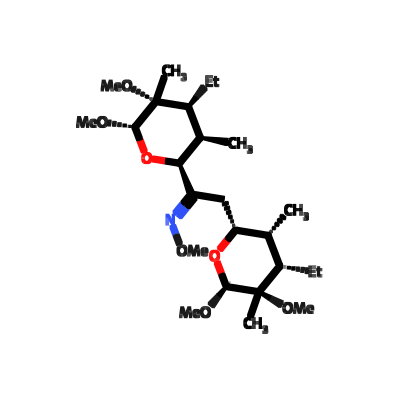 CC[C@H]1[C@@H](C)[C@@H](/C(C[C@H]2O[C@H](OC)[C@](C)(OC)[C@@H](CC)[C@H]2C)=N/OC)O[C@H](OC)[C@]1(C)OC